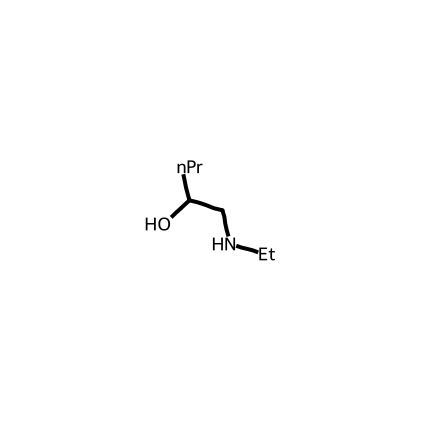 [CH2]CNCC(O)CCC